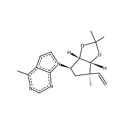 C=C[C@@]1(C)C[C@@H](n2ccc3c(C)ncnc32)[C@@H]2OC(C)(C)O[C@@H]21